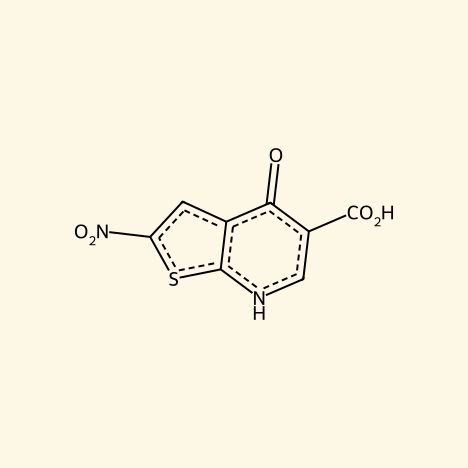 O=C(O)c1c[nH]c2sc([N+](=O)[O-])cc2c1=O